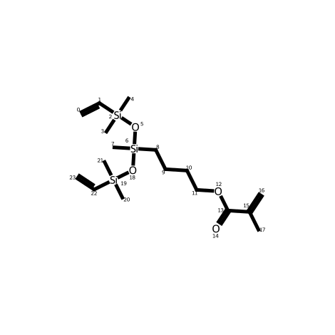 C=C[Si](C)(C)O[Si](C)(CCCCOC(=O)C(=C)C)O[Si](C)(C)C=C